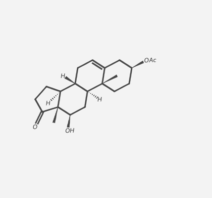 CC(=O)O[C@H]1CC[C@@]2(C)C(=CC[C@H]3[C@@H]4CCC(=O)[C@@]4(C)[C@H](O)C[C@@H]32)C1